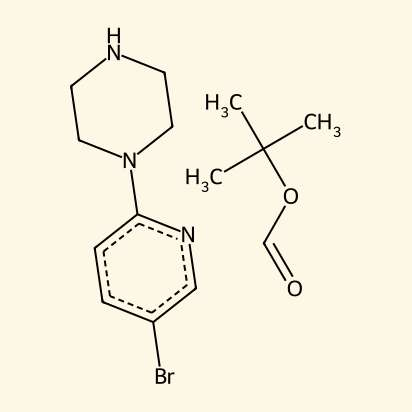 Brc1ccc(N2CCNCC2)nc1.CC(C)(C)OC=O